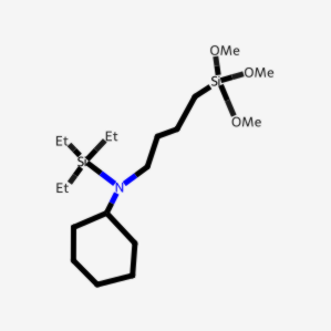 CC[Si](CC)(CC)N(CCCC[Si](OC)(OC)OC)C1CCCCC1